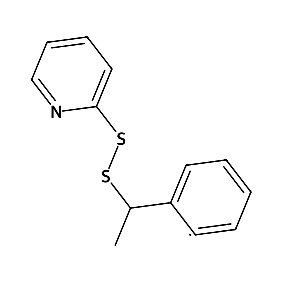 CC(SSc1ccccn1)c1[c]cccc1